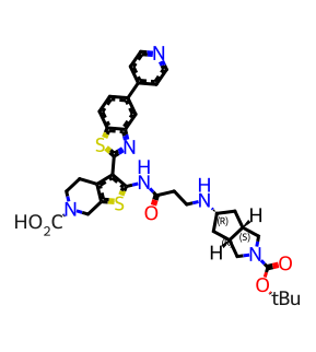 CC(C)(C)OC(=O)N1C[C@H]2C[C@@H](NCCC(=O)Nc3sc4c(c3-c3nc5cc(-c6ccncc6)ccc5s3)CCN(C(=O)O)C4)C[C@H]2C1